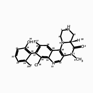 CN1C(=O)[C@H]2CNCCN2c2c1cnc1c(Cl)c(-c3c(O)cccc3F)c(F)cc21